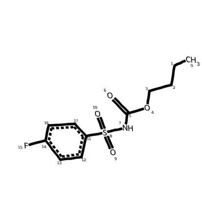 CCCCOC(=O)NS(=O)(=O)c1ccc(F)cc1